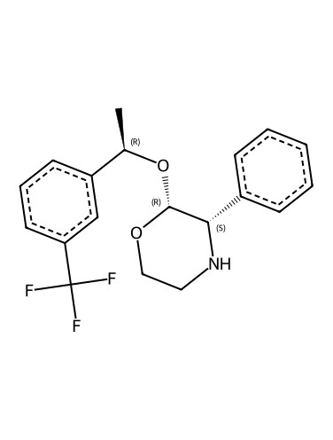 C[C@@H](O[C@H]1OCCN[C@H]1c1ccccc1)c1cccc(C(F)(F)F)c1